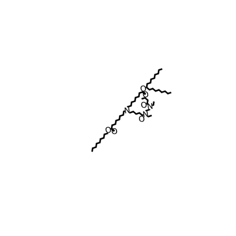 CCCCCCCCCOC(=O)CCCCCCCN(CCCCCCCC(=O)OC(CCCCCCCC)CCCCCCCC)CCCCC(=O)N(CC)CCN(CC)C(=O)CCC